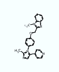 Cc1ncc(-c2ccncc2)n1-c1ccc(OCc2nc3ccccc3n2C)cc1